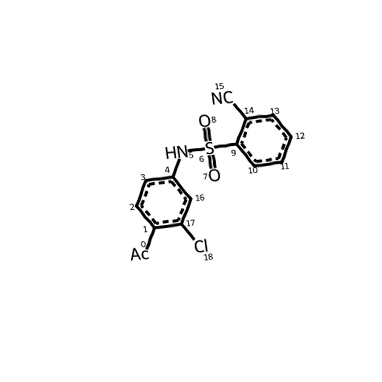 CC(=O)c1ccc(NS(=O)(=O)c2ccccc2C#N)cc1Cl